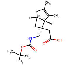 CC1=C(C)[C@H]2[C@@H](C1)C[C@]2(CNC(=O)OC(C)(C)C)CC(=O)O